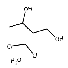 CC(O)CCO.ClCCl.O